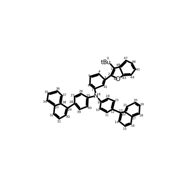 CC(C)(C)c1c(-c2cccc(N(c3ccc(-c4cccc5ccccc45)cc3)c3ccc(-c4cccc5ccccc45)cc3)c2)oc2ccccc12